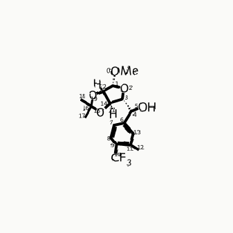 CO[C@@H]1O[C@H](C(O)c2ccc(C(F)(F)F)c(C)c2)[C@H]2OC(C)(C)O[C@@H]12